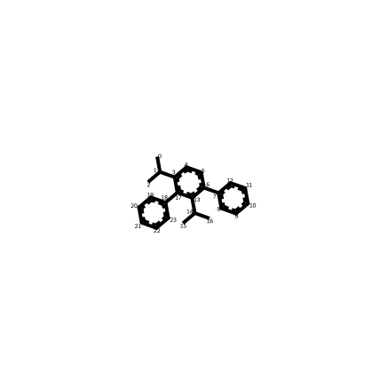 CC(C)c1ccc(-c2ccccc2)c(C(C)C)c1-c1ccccc1